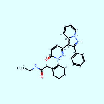 O=C(O)CNC(=O)CC1=C(n2nc(-c3c(-c4ccccc4)nn4ccccc34)ccc2=O)CCCC1